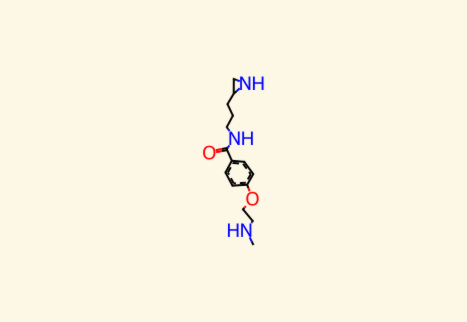 CNCCOc1ccc(C(=O)NCCCC2CN2)cc1